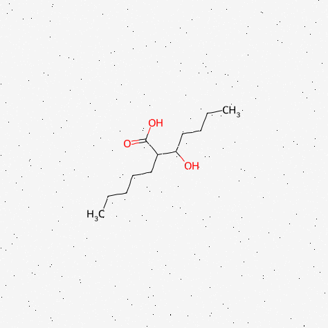 CCCCCC(C(=O)O)C(O)CCCC